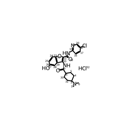 CN(C)C1CCC(C(=O)Nc2c(C(=O)Nc3ccc(Cl)cn3)oc3ccc(O)cc23)CC1.Cl